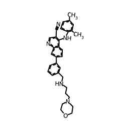 Cc1ccc(Nc2c(C#N)cnc3cc(-c4cccc(CNCCCN5CCOCC5)c4)ccc23)c(C)c1